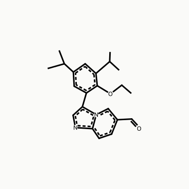 CCOc1c(-c2cnc3ccc(C=O)cn23)cc(C(C)C)cc1C(C)C